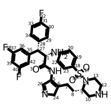 N[C@H](C(=O)NC1=C(CC[C@H]2CNCCN2S(=O)(=O)c2ccccc2)CN=C1)[C@@H](c1ccc(F)cc1)c1cc(F)cc(F)c1